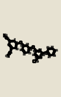 N#Cc1cc(C#N)cc(Oc2cccc(Oc3cc(Cl)nc(-c4ccccc4)n3)c2)c1